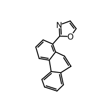 c1ccc2c(c1)ccc1c(-c3ncco3)cccc12